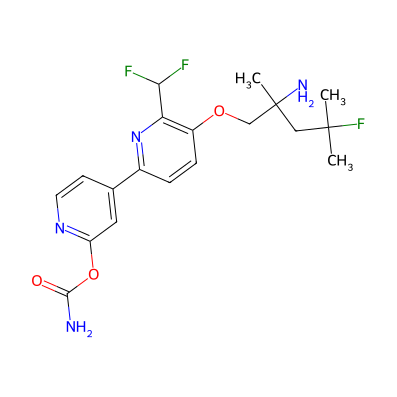 CC(C)(F)CC(C)(N)COc1ccc(-c2ccnc(OC(N)=O)c2)nc1C(F)F